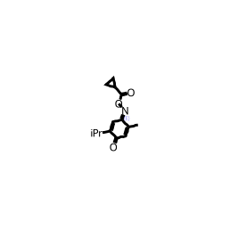 CC1=CC(=O)C(C(C)C)=C/C1=N\OC(=O)C1CC1